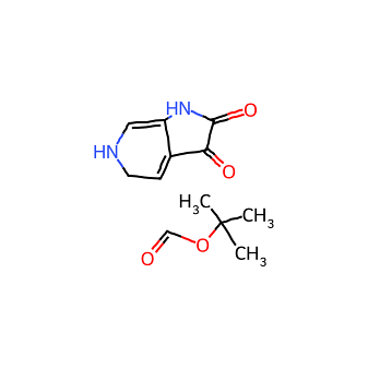 CC(C)(C)OC=O.O=C1NC2=CNCC=C2C1=O